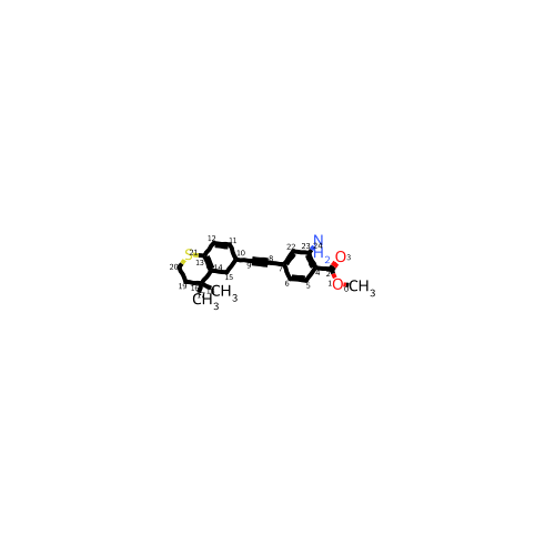 COC(=O)c1ccc(C#CC2C=CC3=C(C2)C(C)(C)CCS3)cc1N